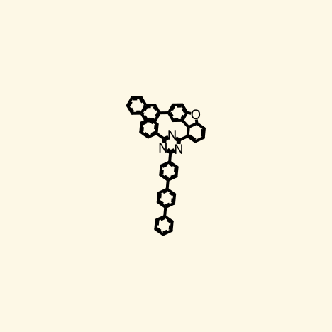 C1=CC2Oc3ccc(-c4ccc5ccccc5c4)cc3C2C(c2nc(-c3ccccc3)nc(-c3ccc(-c4ccc(-c5ccccc5)cc4)cc3)n2)=C1